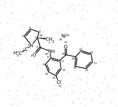 CCN1C=CC[C@]1(C)C(=O)Nc1ccc(Cl)cc1C(=O)c1ccccc1.[Ni+2]